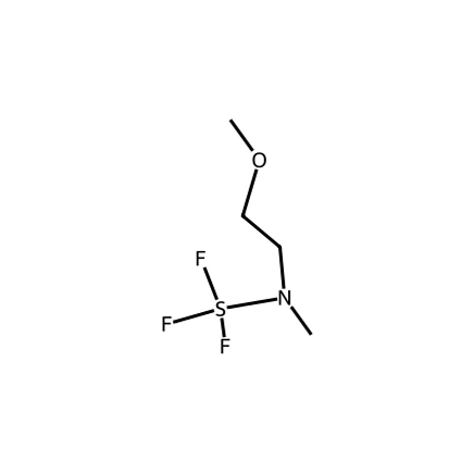 COCCN(C)S(F)(F)F